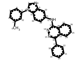 Cc1cccc(-n2cnc3cc(Nc4nnc(-c5ccccc5)c5ccccc45)ccc32)c1